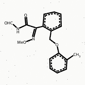 CON=C(C(=O)NC=O)c1ccccc1COc1ccccc1C